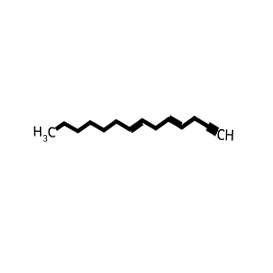 C#CC/C=C/C/C=C/CCCCCC